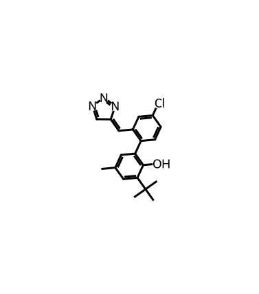 Cc1cc(-c2ccc(Cl)cc2C=C2C=NN=N2)c(O)c(C(C)(C)C)c1